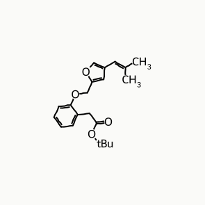 CC(C)=Cc1coc(COc2ccccc2CC(=O)OC(C)(C)C)c1